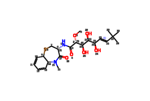 CO[C@@H](C(=O)N[C@H]1CSC2C=CC=CC2N(C)C1=O)[C@H](O)[C@@H](O)[C@H](O)/C=C/C(C)(C)C